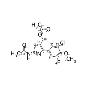 COc1c(F)cc(-c2nc(NC(C)=O)sc2COC(C)=O)cc1Cl